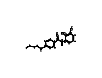 CCCCOc1ccc(C(=O)Nc2cccc(Cl)c2Cl)cc1